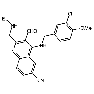 CCNCc1nc2ccc(C#N)cc2c(NCc2ccc(OC)c(Cl)c2)c1C=O